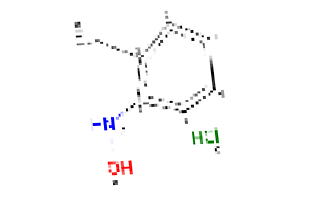 CCc1ccccc1NO.Cl